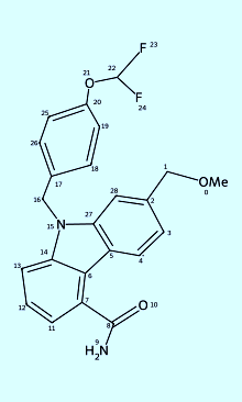 COCc1c[c]c2c3c(C(N)=O)cccc3n(Cc3ccc(OC(F)F)cc3)c2c1